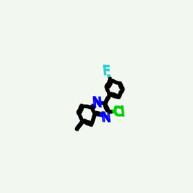 Cc1ccc2nc(-c3cccc(F)c3)c(Cl)nc2c1